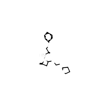 O=C(COc1ccccc1)NN1C(=O)CC1SCC[C@@H]1CCCO1